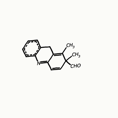 CC1=C2Cc3ccccc3N=C2C=CC1(C)C=O